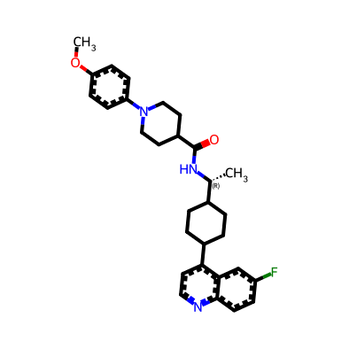 COc1ccc(N2CCC(C(=O)N[C@H](C)C3CCC(c4ccnc5ccc(F)cc45)CC3)CC2)cc1